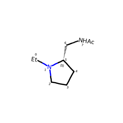 CCN1CCC[C@H]1CNC(C)=O